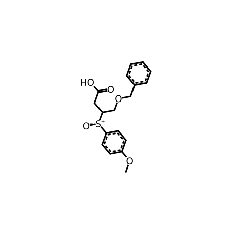 COc1ccc([S+]([O-])C(COCc2ccccc2)CC(=O)O)cc1